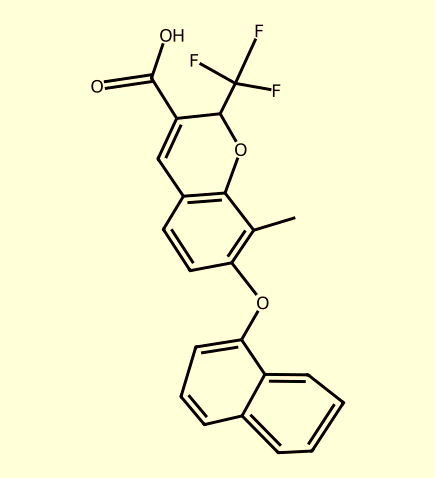 Cc1c(Oc2cccc3ccccc23)ccc2c1OC(C(F)(F)F)C(C(=O)O)=C2